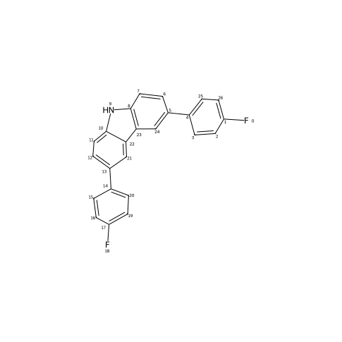 Fc1ccc(-c2ccc3[nH]c4ccc(-c5ccc(F)cc5)cc4c3c2)cc1